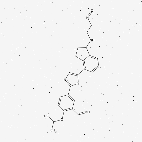 CC(C)Oc1ccc(-c2ncc(-c3cccc4c3CCC4NCCN=O)s2)cc1C=N